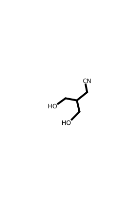 N#CCC(CO)CO